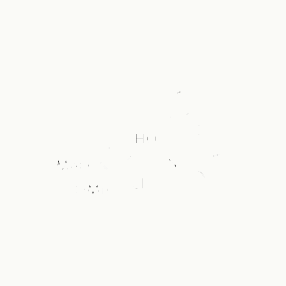 COc1ccc(CCN(Cc2ccccc2)CC(O)c2ccccc2Cl)c(Cl)c1OC